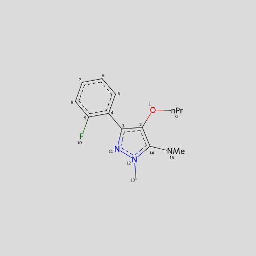 CCCOc1c(-c2ccccc2F)nn(C)c1NC